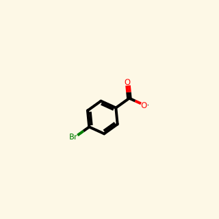 [O]C(=O)c1ccc(Br)cc1